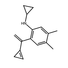 C=C(C1=CC1)c1cc(C)c(C)cc1NC1CC1